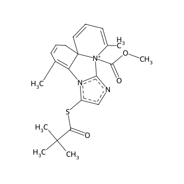 COC(=O)[N+]12C(C)=CC=CC13CC=CC(C)=C3n1c(SC(=O)C(C)(C)C)cnc12